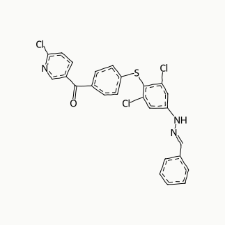 O=C(c1ccc(Sc2c(Cl)cc(NN=Cc3ccccc3)cc2Cl)cc1)c1ccc(Cl)nc1